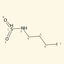 O=[SH](=O)NCCCI